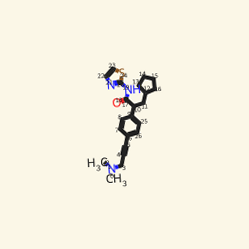 CN(C)CC#Cc1ccc(C(CC2CCCC2)C(=O)Nc2nccs2)cc1